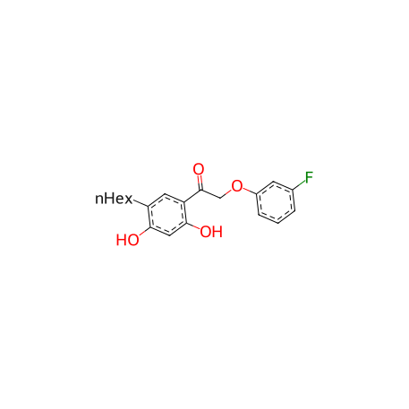 CCCCCCc1cc(C(=O)COc2cccc(F)c2)c(O)cc1O